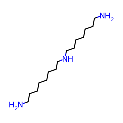 NCCCCCCCCNCCCCCCCN